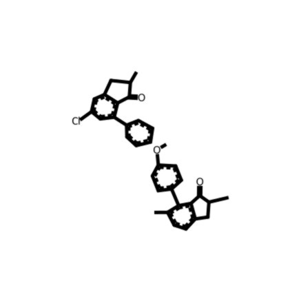 CC1Cc2cc(Cl)cc(-c3ccccc3)c2C1=O.COc1ccc(-c2c(C)ccc3c2C(=O)C(C)C3)cc1